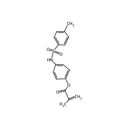 C=C(C)C(=O)Oc1ccc(NS(=O)(=O)c2ccc(C)cc2)cc1